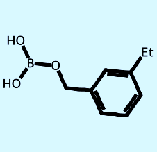 CCc1cccc(COB(O)O)c1